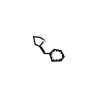 C(=C1CCCS1)c1ccccc1